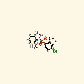 Cc1cc(Br)ccc1S(=O)(=O)N1CCc2cccc(C)c21